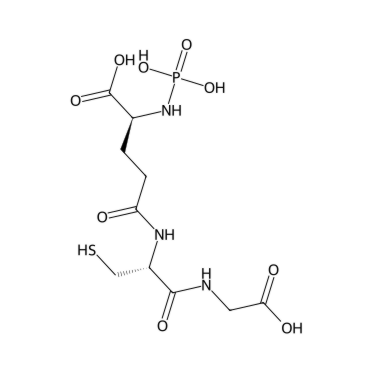 O=C(O)CNC(=O)[C@H](CS)NC(=O)CC[C@H](NP(=O)(O)O)C(=O)O